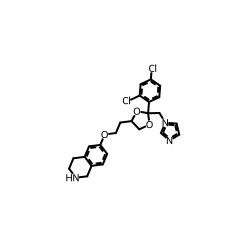 Clc1ccc(C2(Cn3ccnc3)OCC(CCOc3ccc4c(c3)CCNC4)O2)c(Cl)c1